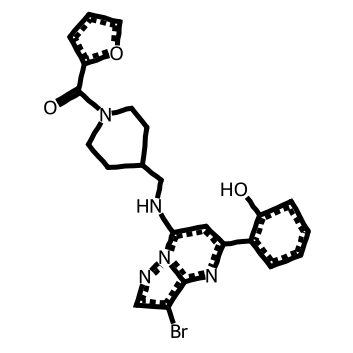 O=C(c1ccco1)N1CCC(CNc2cc(-c3ccccc3O)nc3c(Br)cnn23)CC1